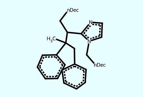 CCCCCCCCCCCC(c1nccn1CCCCCCCCCCC)C(C)(Cc1ccccc1)c1ccccc1